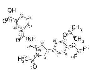 CC(=O)N1CC(c2ccc(OC(F)F)c(OC(C)C)c2)C[C@@H]1CNC(=O)c1cccc(C(=O)O)c1